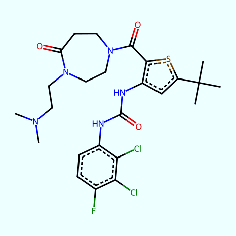 CN(C)CCN1CCN(C(=O)c2sc(C(C)(C)C)cc2NC(=O)Nc2ccc(F)c(Cl)c2Cl)CCC1=O